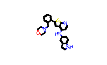 c1ccc(-c2cc3c(Nc4ccc5[nH]ccc5c4)ccnc3s2)c(CN2CCOCC2)c1